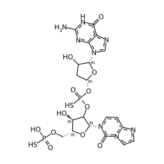 Nc1nc2c(ncn2[C@@H]2O[C@H](OP(=O)(S)OC3[C@H](n4ccc5nccn5c4=O)O[C@H](COP(=O)(O)S)[C@H]3O)CC2O)c(=O)[nH]1